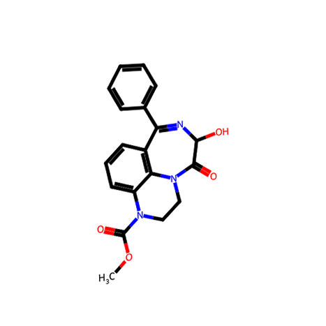 COC(=O)N1CCN2C(=O)C(O)N=C(c3ccccc3)c3cccc1c32